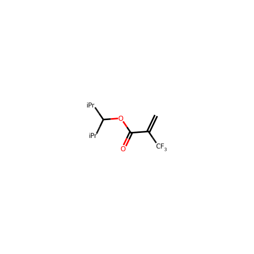 C=C(C(=O)OC(C(C)C)C(C)C)C(F)(F)F